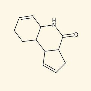 O=C1NC2C=CCCC2C2C=CCC12